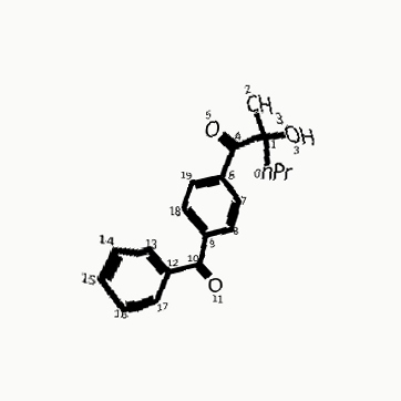 CCCC(C)(O)C(=O)c1ccc(C(=O)c2ccccc2)cc1